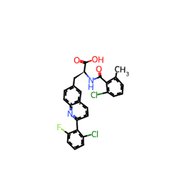 Cc1cccc(Cl)c1C(=O)N[C@@H](Cc1ccc2nc(-c3c(F)cccc3Cl)ccc2c1)C(=O)O